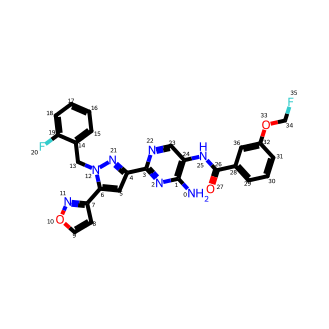 Nc1nc(-c2cc(-c3ccon3)n(Cc3ccccc3F)n2)ncc1NC(=O)c1cccc(OCF)c1